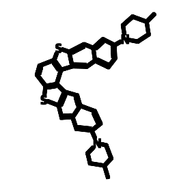 CC1CCN(c2ccc3cc4c(cc3c2)sc2ccc3sc5cc6cc(N7CCC(C)CC7)ccc6cc5c3c24)CC1